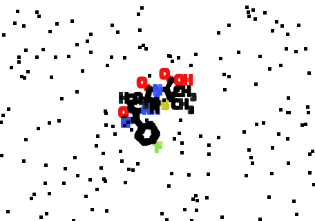 Cc1onc(-c2ccc(F)cc2)c1N[C@@]1(C)C(=O)N2[C@@H](C(=O)O)C(C)(C)S[C@@H]21